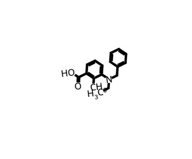 CCN(Cc1ccccc1)c1cccc(C(=O)O)c1C